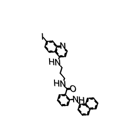 O=C(NCCCNc1ccnc2cc(I)ccc12)c1ccccc1Nc1cccc2ccccc12